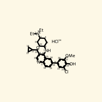 CCN(CC)C1CCC(Nc2c(C(=O)C3CC3)cnc3ccc(-c4cc(Cl)c(O)c(OC)c4)cc23)CC1.Cl